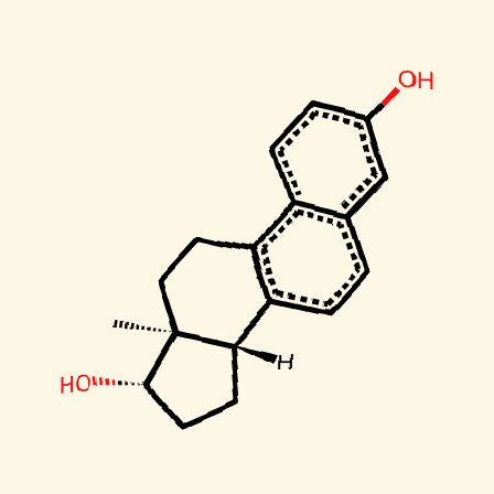 C[C@]12CCc3c(ccc4cc(O)ccc34)[C@@H]1CC[C@@H]2O